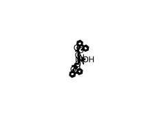 CC(COc1nc(O)nc(OCC(C)P2(=O)OC3CCC=CC3C3CC=CCC32)n1)P1(=O)OC2CCC=CC2c2ccccc21